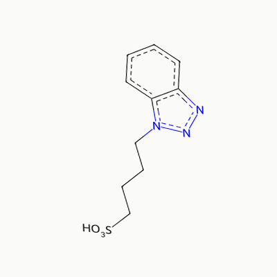 O=S(=O)(O)CCCCn1nnc2ccccc21